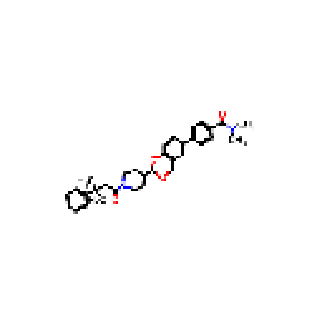 CN(C)C(=O)c1ccc(-c2ccc3c(c2)COC(C2CCN(C(=O)CC(C)(C)c4ccccc4)CC2)O3)cc1